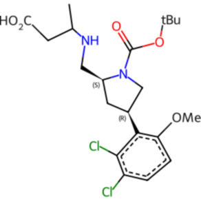 COc1ccc(Cl)c(Cl)c1[C@H]1C[C@@H](CNC(C)CC(=O)O)N(C(=O)OC(C)(C)C)C1